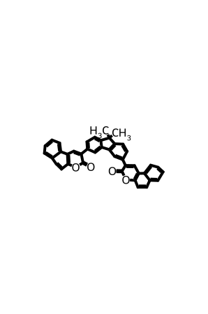 CC1(C)c2ccc(-c3cc4c(ccc5ccccc54)oc3=O)cc2-c2cc(-c3cc4c(ccc5ccccc54)oc3=O)ccc21